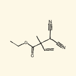 C=CC(C)(C(=O)OCC)C(C#N)C#N